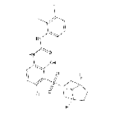 Cc1c(F)cccc1NC(=O)Nc1ccc(Cl)c(S(=O)(=O)[C@@H]2C[C@H]3CC[C@@H](C2)N3C)c1O